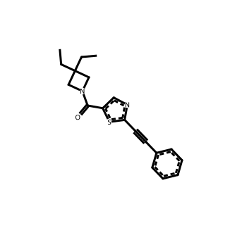 CCC1(CC)CN(C(=O)c2cnc(C#Cc3ccccc3)s2)C1